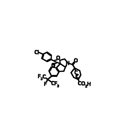 O=C(O)C12CCC(C(=O)N3CCC4(S(=O)(=O)c5ccc(Cl)cc5)c5ccc(C(F)(C(F)(F)F)C(F)(F)F)cc5CC34)(CC1)CC2